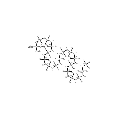 CO[Si](OC)(OC)O[Si](C)(C)O[Si](C)(C)O[Si](C)(C)O[Si](C)(C)O[Si](C)(C)O[Si](C)(C)O[Si](C)(C)O[Si](C)(C)O[Si](C)(C)O[Si](C)(C)O[Si](C)(C)O[Si](C)(C)O[Si](C)(C)O[Si](C)(C)O[Si](C)(C)O[Si](C)(C)O[Si](C)(C)C